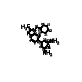 Cc1nc2ccc(-c3cc(N)nc(N)c3)nc2n1CC1CCCCC1